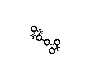 CC1(C)c2ccccc2N(c2ccc(-c3ccc4c(c3)S(=O)(=O)c3ccccc3S4(=O)=O)cc2)c2ccccc21